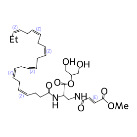 CC/C=C\C/C=C\C/C=C\C/C=C\C/C=C\C/C=C\CCC(=O)NC(CNC(=O)/C=C/C(=O)OC)C(=O)OC(CO)CO